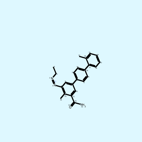 CC/N=N\c1cc(-c2ccc(-c3ccccc3C)cc2)cc(C(N)=O)c1C